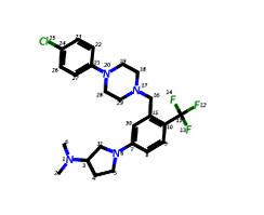 CN(C)C1CCN(c2ccc(C(F)(F)F)c(CN3CCN(c4ccc(Cl)cc4)CC3)c2)C1